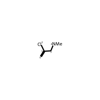 C=C(Cl)CNC